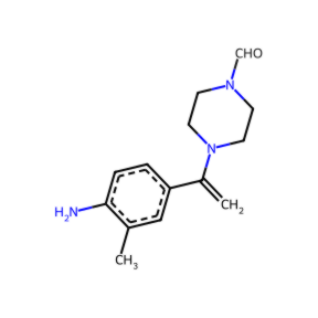 C=C(c1ccc(N)c(C)c1)N1CCN(C=O)CC1